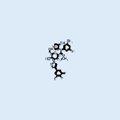 CO[C@@H]1[C@@H](n2cc(-c3cc(F)c(F)c(F)c3)nn2)[C@@H](O)[C@@H](CO)O[C@H]1C(=O)N(c1cc(C)cc(Br)c1)[C@@H]1CNC[C@H]1O